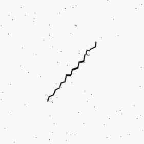 [CH2]CCCCCCC=CC=CC=CCCCCC